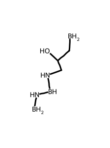 BCC(O)CNBNB